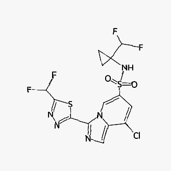 O=S(=O)(NC1(C(F)F)CC1)c1cc(Cl)c2cnc(-c3nnc(C(F)F)s3)n2c1